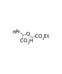 CCCC(OCC(=O)OCC)C(=O)O